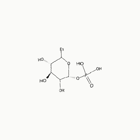 CCC1O[C@H](OP(=O)(O)O)C(O)[C@@H](O)[C@@H]1O